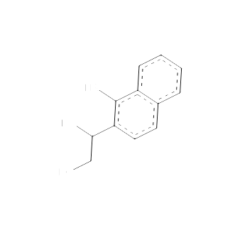 CCC(C)c1ccc2ccccc2c1S